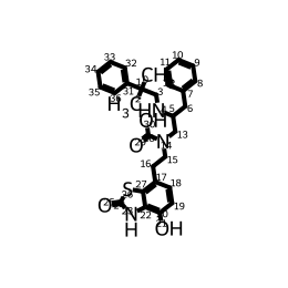 CC(C)(CNC(Cc1ccccc1)CN(CCc1ccc(O)c2[nH]c(=O)sc12)C(=O)O)c1ccccc1